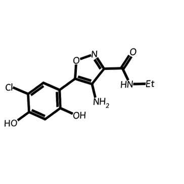 CCNC(=O)c1noc(-c2cc(Cl)c(O)cc2O)c1N